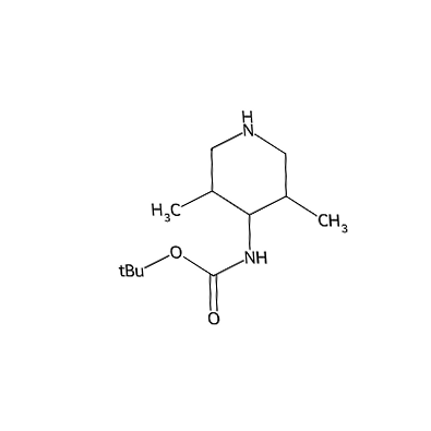 CC1CNCC(C)C1NC(=O)OC(C)(C)C